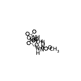 COC(=O)NC(C(=O)Nc1ccccc1CC[C@@H]1CN[C@H](c2nc3ccc(OC)cc3[nH]2)CO1)C(c1ccccc1)c1ccccc1